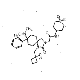 CN(C)[C@]1(c2ccccc2)CC[C@@]2(CC1)CN(CC(=O)NC1CCS(=O)(=O)CC1)C(=O)N2CC1(O)CCC1